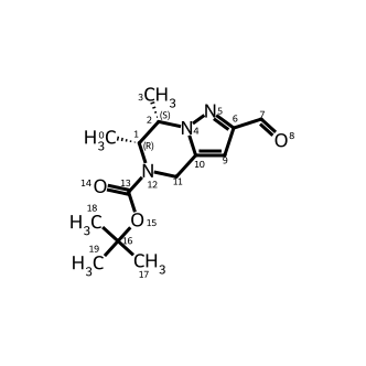 C[C@@H]1[C@H](C)n2nc(C=O)cc2CN1C(=O)OC(C)(C)C